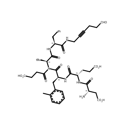 Cc1ccccc1C[C@H](NC(=O)[C@H](CCC(=O)O)NC(=O)[C@@H](N)CC(=O)O)C(=O)N(C(=O)CCC(=O)O)[C@H](C(=O)N[C@@H](CC(C)C)C(=O)NCC#CCCC=O)C(C)(C)C